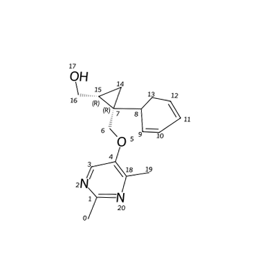 Cc1ncc(OC[C@@]2(C3C=CC=CC3)C[C@H]2CO)c(C)n1